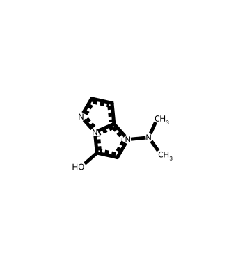 CN(C)n1cc(O)n2nccc12